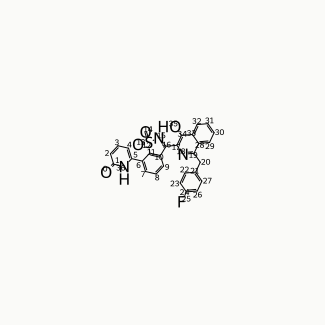 O=c1cccc(-c2cccc3c2S(=O)(=O)N=C3c2nc(Cc3ccc(F)cc3)c3ccccc3c2O)[nH]1